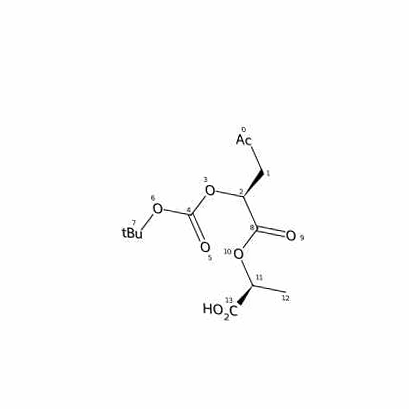 CC(=O)C[C@H](OC(=O)OC(C)(C)C)C(=O)O[C@@H](C)C(=O)O